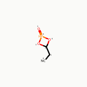 N#CCC1O[PH](=O)O1